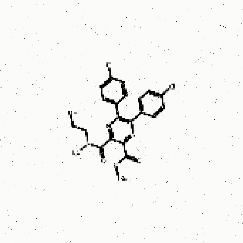 CN(CCO)C(=O)c1nc(-c2ccc(Cl)cc2)c(-c2ccc(Cl)cc2)nc1C(=O)OC(C)(C)C